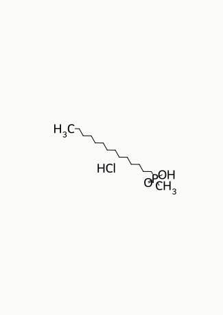 CCCCCCCCCCCCCCP(C)(=O)O.Cl